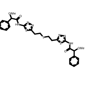 COC(C(=O)Nc1nnc(CCSCCc2nnc(NC(=O)C(OC)c3ccccc3)s2)s1)c1ccccc1